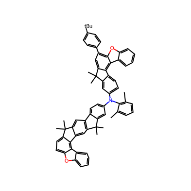 Cc1cccc(C)c1N(c1ccc2c(c1)C(C)(C)c1cc3c(cc1-2)C(C)(C)c1ccc2oc4ccccc4c2c1-3)c1ccc2c(c1)C(C)(C)c1cc(-c3ccc(C(C)(C)C)cc3)c3oc4ccccc4c3c1-2